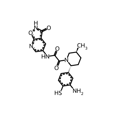 C[C@H]1CC[C@H](c2ccc(S)c(N)c2)N(C(=O)C(=O)Nc2cnc3o[nH]c(=O)c3c2)C1